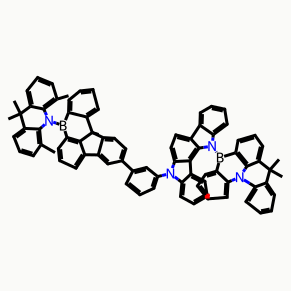 Cc1cccc2c1N(B1c3ccccc3C3(C)c4ccc(-c5cccc(-n6c7ccccc7c7c8c(ccc76)c6ccccc6n8B6c7ccccc7N7c8ccccc8C(C)(C)c8cccc6c87)c5)cc4-c4cccc1c43)c1c(C)cccc1C2(C)C